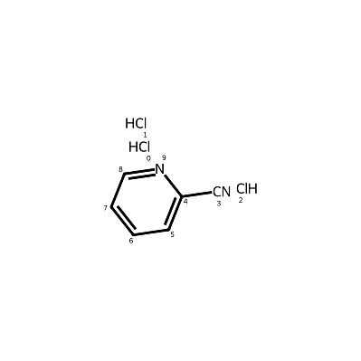 Cl.Cl.Cl.N#Cc1ccccn1